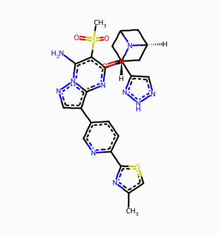 Cc1csc(-c2ccc(-c3cnn4c(N)c(S(C)(=O)=O)c([C@@H]5CC6C[C@@H](C5)N6C(=O)c5cn[nH]n5)nc34)cn2)n1